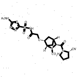 CC(=O)Nc1nnc(S(=O)(=O)NC(=O)CO[C@@H]2C[C@H]3C[C@@H]2N(C(=O)O)[C@@H]3C(=O)N2CCC[C@H]2C#N)s1